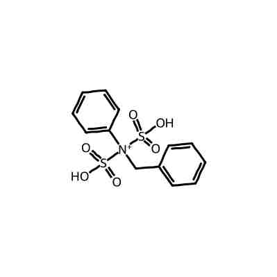 O=S(=O)(O)[N+](Cc1ccccc1)(c1ccccc1)S(=O)(=O)O